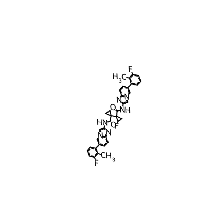 Cc1c(F)cccc1-c1ccc2nc(NC(=O)C3(C4(C(=O)Nc5cn6cc(-c7cccc(F)c7C)ccc6n5)CC4F)CC3)cn2c1